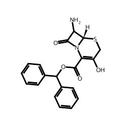 NC1C(=O)N2C(C(=O)OC(c3ccccc3)c3ccccc3)=C(O)CS[C@@H]12